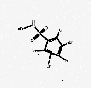 CCCNS(=O)(=O)c1c(Br)c(Br)c(Br)c(Br)c1Br